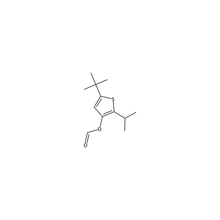 CC(C)c1sc(C(C)(C)C)cc1OC=O